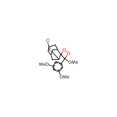 COc1cc(OC)cc(C2(OC)OOC23C2CC4CC3CC(Cl)(C4)C2)c1